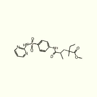 CCC(C)(CC(C)C(=O)Nc1ccc(S(=O)(=O)Nc2ncccn2)cc1)C(=O)OC